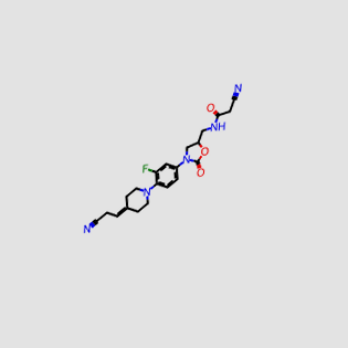 N#CCC=C1CCN(c2ccc(N3CC(CNC(=O)CC#N)OC3=O)cc2F)CC1